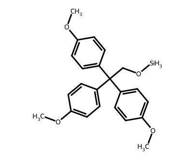 COc1ccc(C(CO[SiH3])(c2ccc(OC)cc2)c2ccc(OC)cc2)cc1